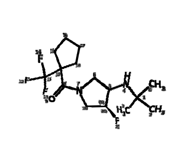 CC(C)(C)NC1CN(C(=O)C2(C(F)(F)F)CCCC2)C[C@@H]1F